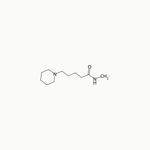 [CH2]NC(=O)CCCCN1CCCCC1